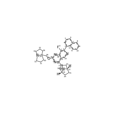 Fc1c(-c2cccc3ccccc23)ncc2c(N3C[C@H]4CC[C@@H](C3)N4)nc(OCC34CCCN3CCC4)nc12